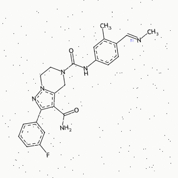 C/N=C/c1ccc(NC(=O)N2CCn3nc(-c4cccc(F)c4)c(C(N)=O)c3C2)cc1C